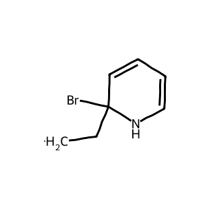 [CH2]CC1(Br)C=CC=CN1